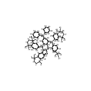 CC1CCC(C)(C)c2cc3c4c(sc3cc21)B1c2cc(C(C)(C)C)ccc2N(c2ccc3c(c2)C(C)(C)CCC3(C)C)c2cc(N(c3ccccc3)c3ccccc3)cc(c21)N4c1ccc2c(c1)C(C)(C)CCC2(C)C